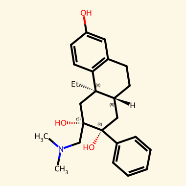 CC[C@@]12C[C@](O)(CN(C)C)[C@](O)(c3ccccc3)C[C@H]1CCc1cc(O)ccc12